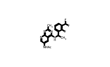 CC(=O)Nc1cnc2nc(C)nc(NC(C)c3cccc(C(F)F)c3F)c2c1